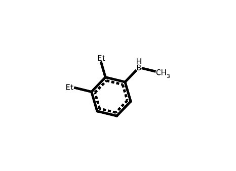 CBc1cccc(CC)c1CC